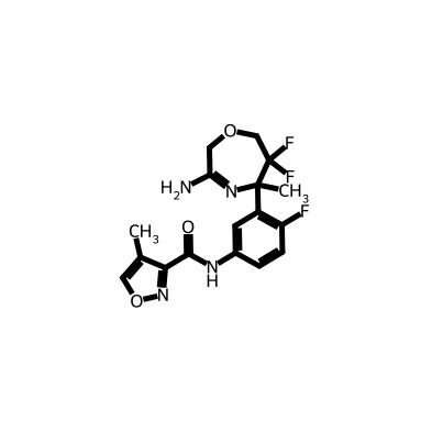 Cc1conc1C(=O)Nc1ccc(F)c(C2(C)N=C(N)COCC2(F)F)c1